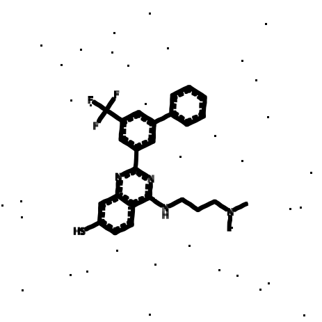 CN(C)CCCNc1nc(-c2cc(-c3ccccc3)cc(C(F)(F)F)c2)nc2cc(S)ccc12